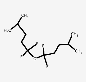 CC(C)CCC(F)(F)OC(F)(F)CCC(C)C